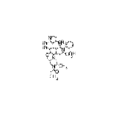 C=CC(=O)N1CC2COc3c(C(C)C)c(-c4c(C)ccnc4C(C)C)c4c(=O)n(-c5c(O)cccc5F)c(C(F)(F)F)cc4c3N2CC1C